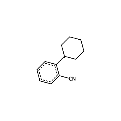 N#Cc1ccccc1[C]1CCCCC1